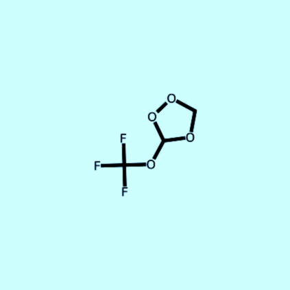 FC(F)(F)OC1OCOO1